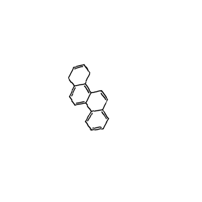 C1=CCc2c(ccc3c2ccc2ccccc23)C1